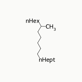 CCCCCCCCCCCCC(C)CCCCCC